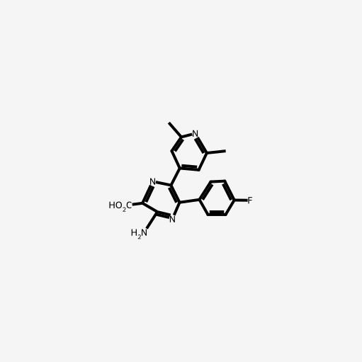 Cc1cc(-c2nc(C(=O)O)c(N)nc2-c2ccc(F)cc2)cc(C)n1